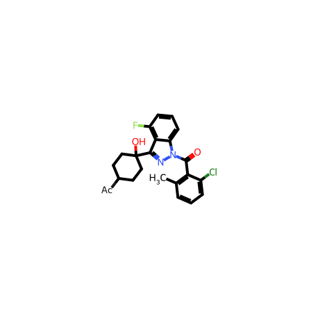 CC(=O)C1CCC(O)(c2nn(C(=O)c3c(C)cccc3Cl)c3cccc(F)c23)CC1